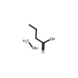 CCCC(=O)O.CCCCP